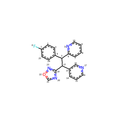 Fc1ccc(C(c2ccccn2)C(c2cccnc2)c2ncon2)cc1